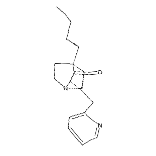 CCCCC12CCN(CC1)C(Cc1ccccn1)C2=O